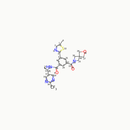 Cc1cnc(-c2cc(C(=O)N[C@H](C)c3cnc(C(F)(F)F)nc3)cc(C(=O)N3CC4(COC4)C3)c2)s1